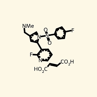 CNCc1cc(-c2cccnc2F)n(S(=O)(=O)c2ccc(F)cc2)c1.O=C(O)C=CC(=O)O